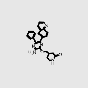 Nc1nc(-c2ccccc2)c(-c2ccc3ncccc3c2)nc1OCC1CCNC(=O)C1